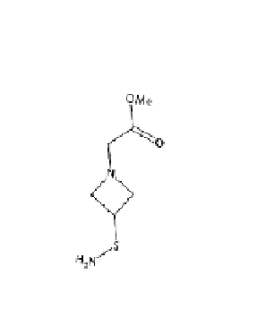 COC(=O)CN1CC(SN)C1